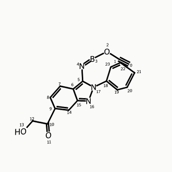 C#CO/B=N/c1c2ccc(C(=O)CO)cc2nn1-c1ccccc1